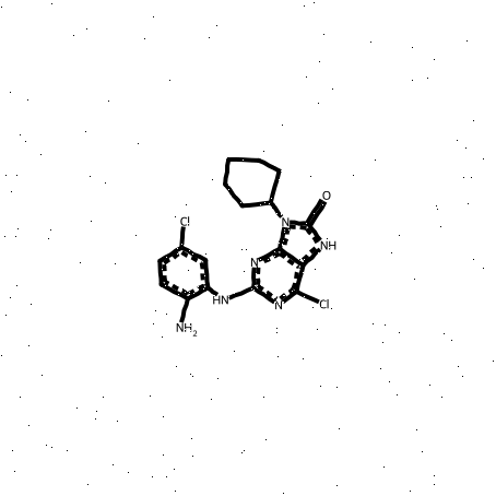 Nc1ccc(Cl)cc1Nc1nc(Cl)c2[nH]c(=O)n(C3CCCCC3)c2n1